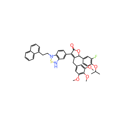 COc1cc(CC2=C(c3ccc4c(c3)NSN4CCc3cccc4ccccc34)C(=O)O[C]2c2ccc(OC(C)C)c(F)c2)cc(OC)c1OC